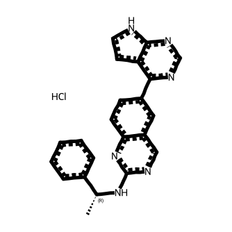 C[C@@H](Nc1ncc2cc(-c3ncnc4[nH]ccc34)ccc2n1)c1ccccc1.Cl